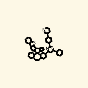 C1=Cc2ccc(-c3cc(-c4ccccc4)nc(-c4ccc(-c5cccnc5)cc4)n3)cc2C2(c3ccccc31)c1ccccc1-c1c2ccc2c1sc1ccccc12